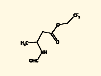 CC(CC(=O)OCC(F)(F)F)NC=O